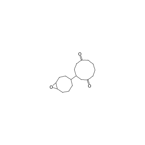 O=C1CCCCC(=O)CC(C2CCCC3OC3CC2)CC1